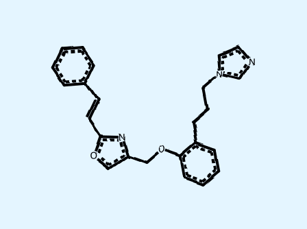 C(=Cc1nc(COc2ccccc2CCCn2ccnc2)co1)c1ccccc1